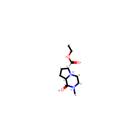 CCOC(=O)[C@H]1CCC2C(=O)N(C)CCN21